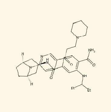 CCC(CC)Nc1cc(C(=O)N[C@H]2C[C@H]3CC[C@@H](C2)N3c2ccc(C(=O)CCN3CCCCC3)cn2)ccc1C(N)=O